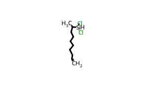 C=CCCCCCCC(C)[SiH](Cl)Cl